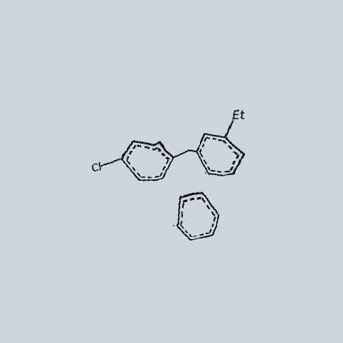 CCc1cc[c]c(-c2ccc(Cl)cc2)c1.[c]1ccccc1